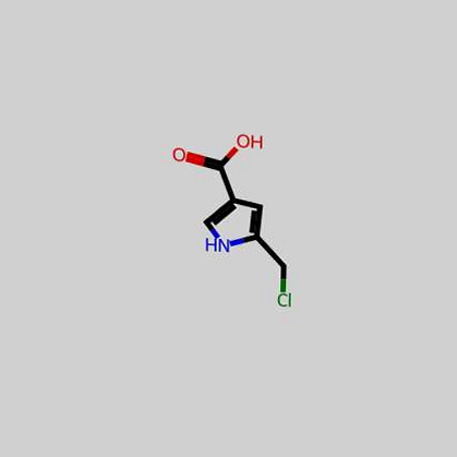 O=C(O)c1c[nH]c(CCl)c1